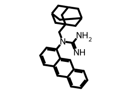 N=C(N)N(CC12CC3CC(CC(C3)C1)C2)c1cccc2cc3ccccc3cc12